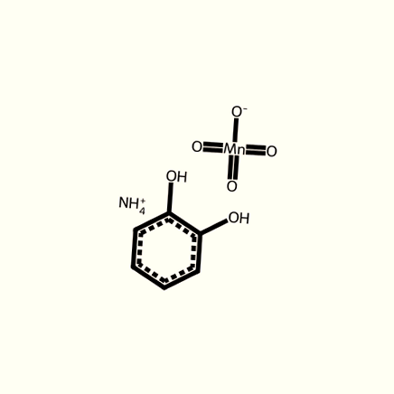 Oc1ccccc1O.[NH4+].[O]=[Mn](=[O])(=[O])[O-]